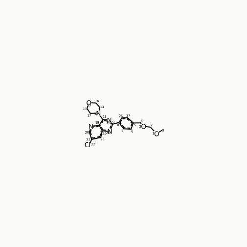 COCOCc1ccc(-c2nc(N3CCOCC3)c3ncc(Cl)cc3n2)cc1